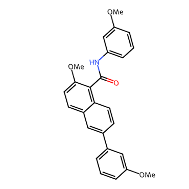 COc1cccc(NC(=O)c2c(OC)ccc3cc(-c4cccc(OC)c4)ccc23)c1